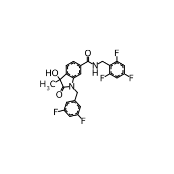 CC1(O)C(=O)N(Cc2cc(F)cc(F)c2)c2cc(C(=O)NCc3c(F)cc(F)cc3F)ccc21